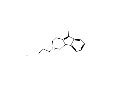 CC1=C2CCN(CCC(=O)O)CC2c2ccccc21